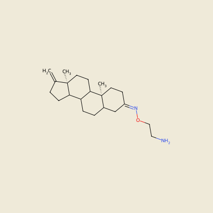 C=C1CCC2C3CCC4CC(=NOCCN)CC[C@]4(C)C3CC[C@]12C